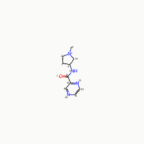 CN1CCC(NC(=O)c2cnccn2)C1